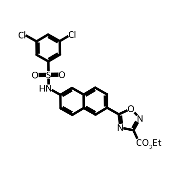 CCOC(=O)c1noc(-c2ccc3cc(NS(=O)(=O)c4cc(Cl)cc(Cl)c4)ccc3c2)n1